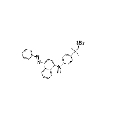 CC(C)(C)CC(C)(C)c1ccc(Nc2ccc(N=Nc3ccccc3)c3ccccc23)cc1